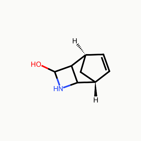 OC1NC2C1[C@H]1C=C[C@H]2C1